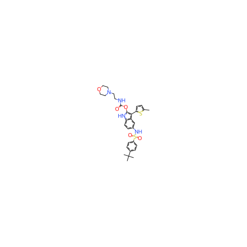 Cc1ccc(-c2c(OC(=O)NCCN3CCOCC3)[nH]c3ccc(NS(=O)(=O)c4ccc(C(C)(C)C)cc4)cc23)s1